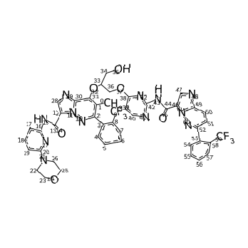 Cc1c(-c2ccccc2C(F)(F)F)nn2c(C(=O)Nc3cccc(N4CCOCC4)n3)cnc2c1OC(CO)COc1ccnc(NC(=O)c2cnc3ccc(-c4ccccc4C(F)(F)F)nn23)n1